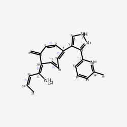 C=C1\C=C/C(c2c[nH]nc2-c2cccc(C)n2)=C/C=C/C1=C(N)/C=C\C